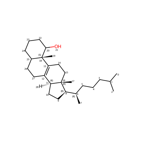 CC(C)CCC[C@@H](C)[C@H]1CC[C@H]2C3=C(CC[C@]12C)[C@@]1(C)C(O)CCCC1CC3